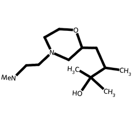 CNCCN1CCOC(CC(C)C(C)(C)O)C1